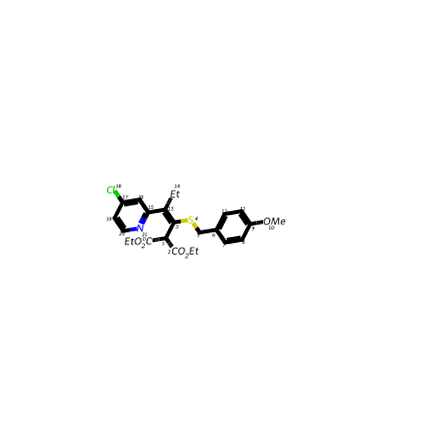 CCOC(=O)C(C(=O)OCC)/C(SCc1ccc(OC)cc1)=C(/CC)c1cc(Cl)ccn1